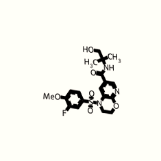 COc1ccc(S(=O)(=O)N2CCOc3ncc(C(=O)NC(C)(C)CO)cc32)cc1F